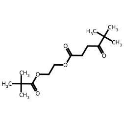 CC(C)(C)C(=O)CCC(=O)OCCOC(=O)C(C)(C)C